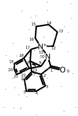 O=c1c2ccccc2c2c3n1[N+]1(CCCCC1)C2c1ccccc1-3